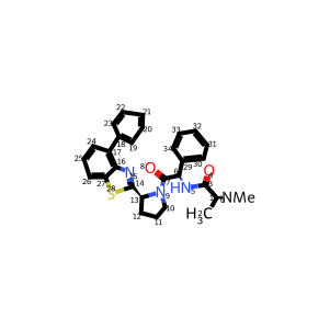 CN[C@@H](C)C(=O)N[C@H](C(=O)N1CCC[C@H]1c1nc2c(-c3ccccc3)cccc2s1)c1ccccc1